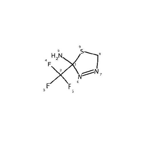 NC1(C(F)(F)F)N=NCS1